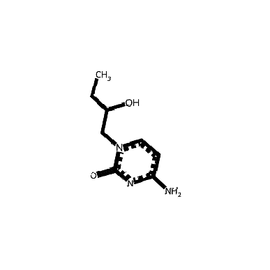 CCC(O)Cn1ccc(N)nc1=O